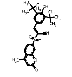 Cc1cc(=O)oc2cc(S(=O)(=O)C(C#N)=Cc3cc(C(C)(C)C)c(O)c(C(C)(C)C)c3)ccc12